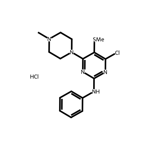 CSc1c(Cl)nc(Nc2ccccc2)nc1N1CCN(C)CC1.Cl